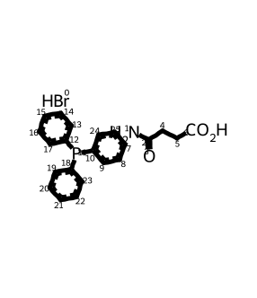 Br.NC(=O)CCC(=O)O.c1ccc(P(c2ccccc2)c2ccccc2)cc1